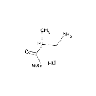 CNC(=O)[C@H](C)CN.Cl